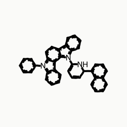 C1=CC(c2cccc3ccccc23)NC(n2c3ccccc3c3ccc4c(c5ccccc5n4-c4ccccc4)c32)=C1